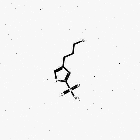 NS(=O)(=O)c1cc(CCCBr)cs1